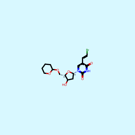 O=c1[nH]c(=O)n([C@@H]2CC(O)[C@H](COC3CCCCO3)O2)cc1C=CBr